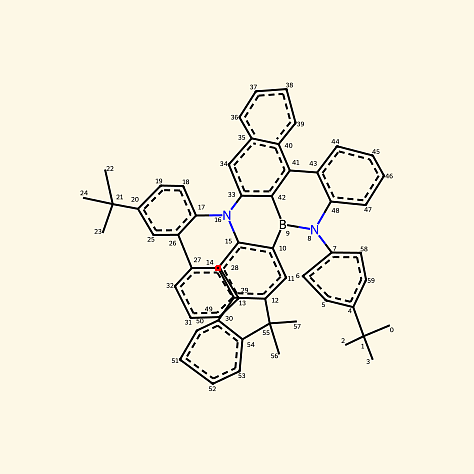 CC(C)(C)c1ccc(N2B3c4cc5c(cc4N(c4ccc(C(C)(C)C)cc4-c4ccccc4)c4cc6ccccc6c(c43)-c3ccccc32)-c2ccccc2C5(C)C)cc1